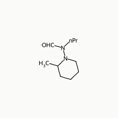 CCCN([C]=O)N1CCCCC1C